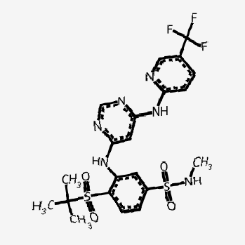 CNS(=O)(=O)c1ccc(S(=O)(=O)C(C)(C)C)c(Nc2cc(Nc3ccc(C(F)(F)F)cn3)ncn2)c1